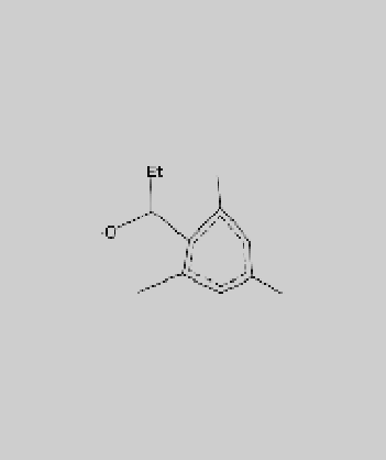 CCC([O])c1c(C)cc(C)cc1C